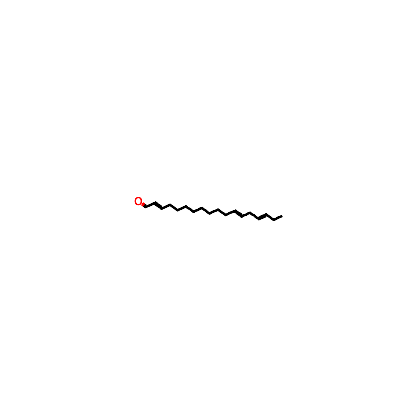 CCC=CCC=CCCCCCCCCC=CC=O